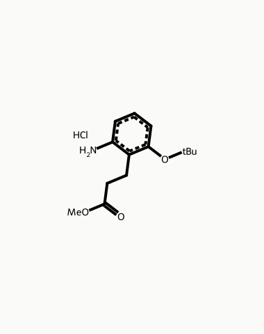 COC(=O)CCc1c(N)cccc1OC(C)(C)C.Cl